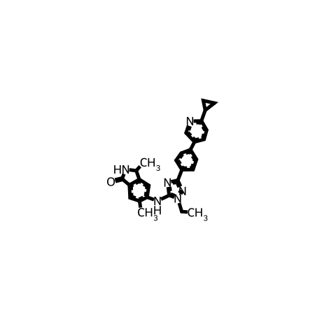 CCn1nc(-c2ccc(-c3ccc(C4CC4)nc3)cc2)nc1Nc1cc2c(cc1C)C(=O)NC2C